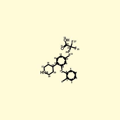 Cc1ccccc1Sc1cc(F)ccc1C1CCNCC1.O=C(O)C(F)(F)F